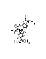 CC(C)c1ccc2c(c1)NC(=O)C(C)n1c-2cc2cc(C(C)C)ccc21